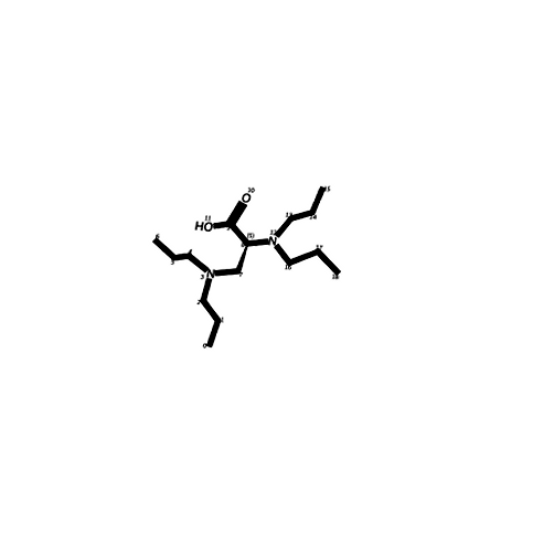 CCCN(CCC)C[C@@H](C(=O)O)N(CCC)CCC